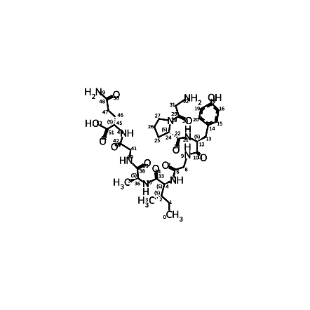 CC[C@H](C)[C@H](NC(=O)CNC(=O)[C@H](Cc1ccc(O)cc1)NC(=O)[C@@H]1CCCN1C(=O)CN)C(=O)N[C@@H](C)C(=O)NCC(=O)N[C@@H](CCC(N)=O)C(=O)O